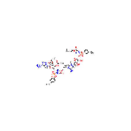 CC(C)C(=O)O[C@H]1[C@@H](OC(=O)C(C)C)[C@](C#N)(c2ccc3c(N)ncnn23)O[C@@H]1COP(=O)(N[C@@H](C)C(=O)OCCC(C)(C)Cc1nc(N)c2ccc([C@]3(C#N)O[C@H](COP(=O)(N[C@@H](C)C(=O)OCCC(C)(C)C)Oc4ccc(C(C)(C)C)cc4)[C@@H](O)[C@H]3O)n2n1)Oc1ccc(C(C)(C)C)cc1